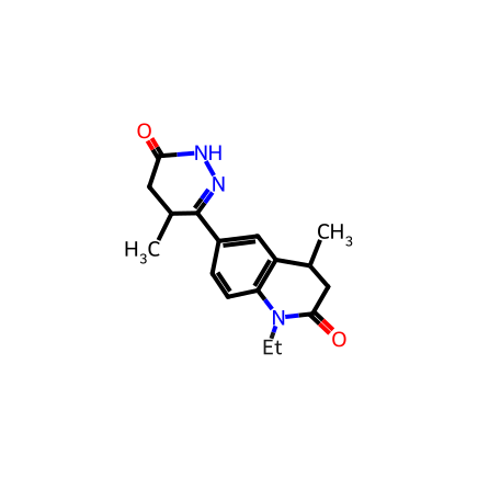 CCN1C(=O)CC(C)c2cc(C3=NNC(=O)CC3C)ccc21